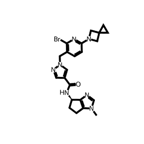 Cn1cnc2c1CC[C@H]2NC(=O)c1cnn(Cc2ccc(N3CC4(CC4)C3)nc2Br)c1